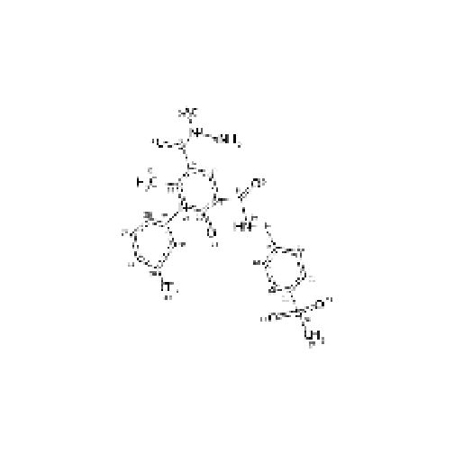 CC(=O)N(N)C(=O)c1cc(C(=O)NCc2ccc(S(C)(=O)=O)cc2)c(=O)n(-c2cccc(C(F)(F)F)c2)c1C